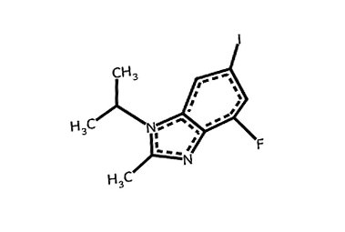 Cc1nc2c(F)cc(I)cc2n1C(C)C